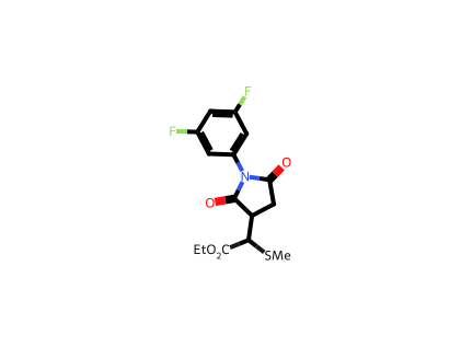 CCOC(=O)C(SC)C1CC(=O)N(c2cc(F)cc(F)c2)C1=O